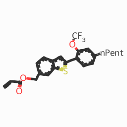 C=CC(=O)OCc1ccc2cc(-c3ccc(CCCCC)cc3OC(F)(F)F)sc2c1